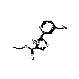 CCOC(=O)c1cnc(-c2cc(Br)ccn2)[nH]1